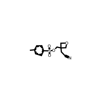 Cc1ccc(S(=O)(=O)OCC2(CC#N)COC2)cc1